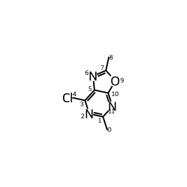 Cc1nc(Cl)c2nc(C)oc2n1